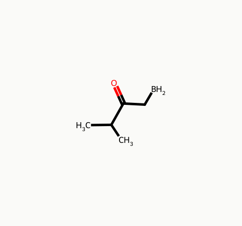 BCC(=O)C(C)C